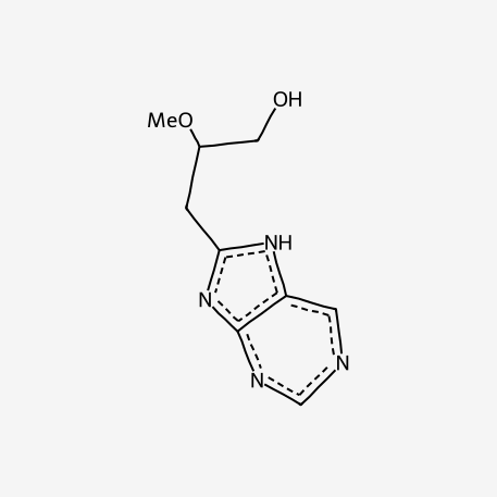 COC(CO)Cc1nc2ncncc2[nH]1